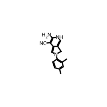 Cc1ccc(N2C=C3C(=CNC(N)=C3C#N)C2)c(C)c1